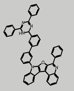 c1ccc(C2=NC(c3cccc(-c4cccc(-n5c6ccccc6c6c7c(oc65)c(-c5ccccc5)nc5ccccc57)c4)c3)NC(c3ccccc3)=N2)cc1